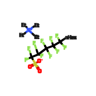 CCCCCCC(F)(F)C(F)(F)C(F)(F)C(F)(F)C(F)(F)S(=O)(=O)[O-].CC[N+](CC)(CC)CC